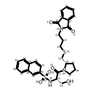 O=C1c2ccccc2C(=O)N1CCCSC[C@@H]1CCCN1C(=O)[C@H](CO)NS(=O)(=O)c1ccc2ccccc2c1